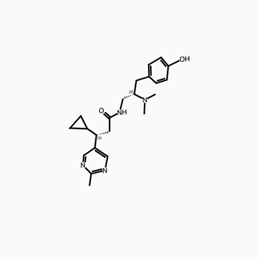 Cc1ncc([C@@H](CC(=O)NC[C@H](Cc2ccc(O)cc2)N(C)C)C2CC2)cn1